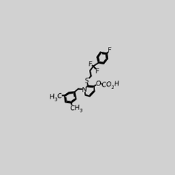 Cc1cc(C)cc(CN2CC=CC(OC(=O)O)=C2SCCC(F)(F)c2ccc(F)cc2)c1